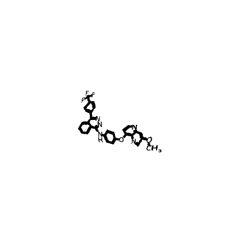 COc1cnc2c(Oc3ccc(Nc4nnc(-c5ccc(C(F)(F)F)cc5)c5ccccc45)cc3)ccnc2c1